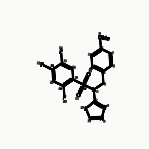 COc1ccc(CN(c2nncs2)S(=O)(=O)c2cc(F)c(F)cc2F)cc1